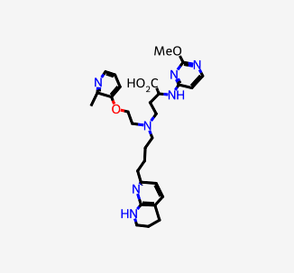 COc1nccc(NC(CCN(CCCCc2ccc3c(n2)NCCC3)CCOc2cccnc2C)C(=O)O)n1